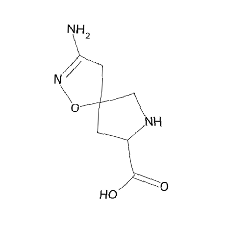 NC1=NOC2(CNC(C(=O)O)C2)C1